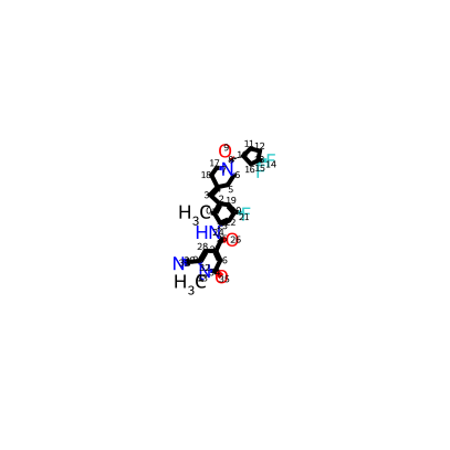 Cc1c(C=C2CCN(C(=O)[C@@H]3CCC(F)(F)C3)CC2)cc(F)cc1NC(=O)c1cc(C#N)n(C)c(=O)c1